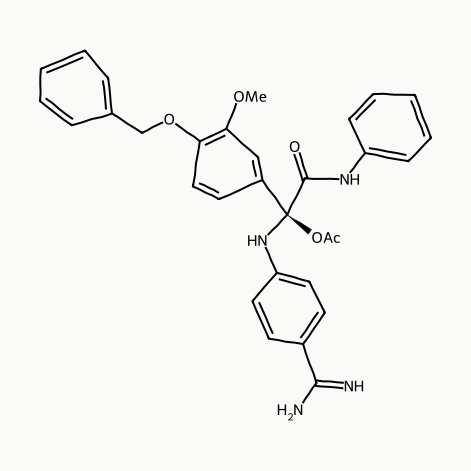 COc1cc([C@](Nc2ccc(C(=N)N)cc2)(OC(C)=O)C(=O)Nc2ccccc2)ccc1OCc1ccccc1